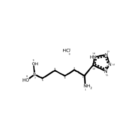 Cl.NC(CCCCB(O)O)c1nnn[nH]1